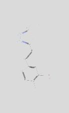 Oc1ccc(C=Cc2nnc(C(Cl)(Cl)Cl)o2)cc1O